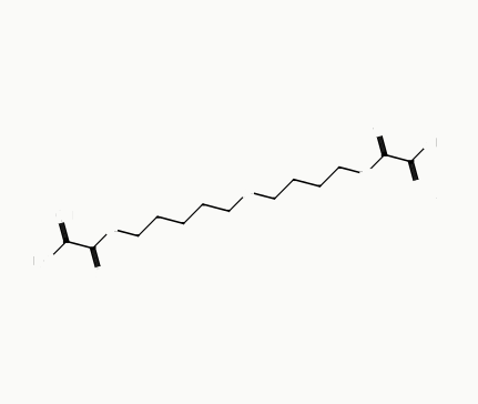 C=C(C)C(=O)SCCCCCSCCCCSC(=O)C(=C)C